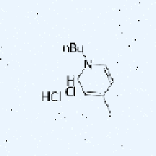 CCCCN1C=CC(C)=CC1.Cl.Cl